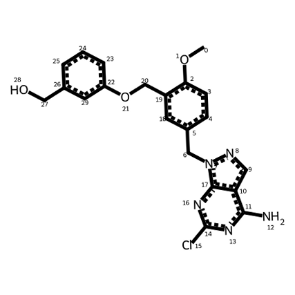 COc1ccc(Cn2ncc3c(N)nc(Cl)nc32)cc1COc1cccc(CO)c1